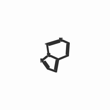 [c]1nccc2ccnn12